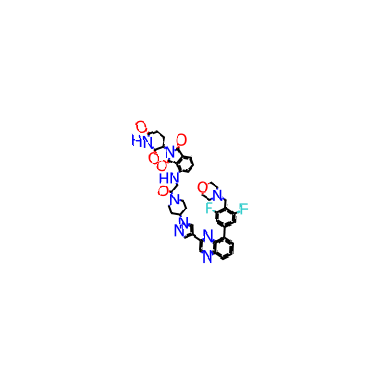 O=C1CCC(N2C(=O)c3cccc(NCC(=O)N4CCC(n5cc(-c6cnc7cccc(-c8cc(F)c(CN9CCOCC9)c(F)c8)c7n6)cn5)CC4)c3C2=O)C(=O)N1